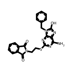 Nc1nc(SCCN2C(=O)c3ccccc3C2=O)nc2c1nc(O)n2Cc1ccccc1